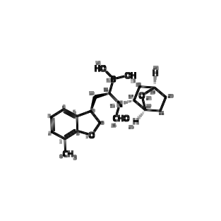 Cc1cccc2c1OC[C@@H]2C[C@@H](B(O)O)N(C=O)[C@@H]1C[C@H]2CC[C@@H]1O2